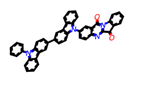 O=C1c2ccccc2-n2c1nc1ccc(-n3c4ccccc4c4cc(-c5ccc6c(c5)c5ccccc5n6-c5ccccc5)ccc43)cc1c2=O